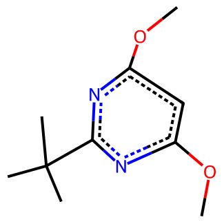 COc1cc(OC)nc(C(C)(C)C)n1